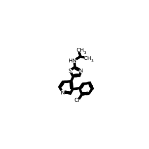 CC(C)Nc1ncc(-c2ccncc2-c2ccccc2Cl)s1